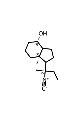 [C-]#[N+][C@@](C)(CC)C1CCC2[C@@H](O)CCC[C@@]21C